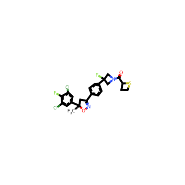 O=C(C1CCS1)N1CC(F)(c2ccc(C3=NOC(c4cc(Cl)c(F)c(Cl)c4)(C(F)(F)F)C3)cc2)C1